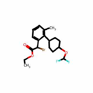 CCOC(=O)C(Br)c1cccc(C)c1C1CCC(OC(F)F)CC1